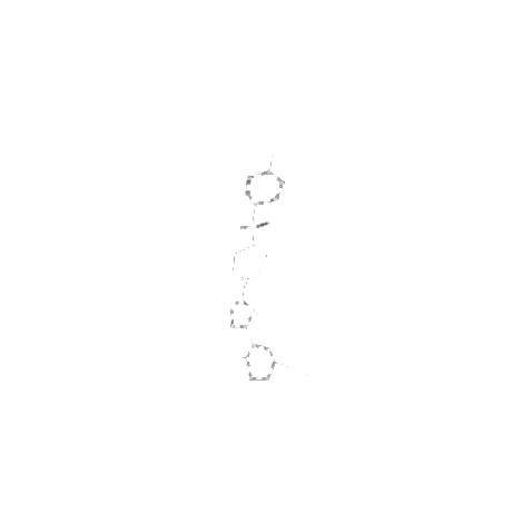 Cc1ccc(C)c(-c2csc(N3CCC(S(=O)(=O)c4ccc(Cl)cc4)CC3)n2)c1